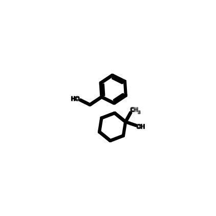 CC1(O)CCCCC1.OCc1ccccc1